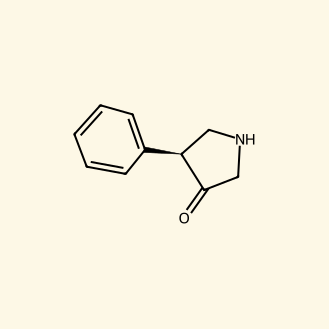 O=C1CNC[C@@H]1c1ccccc1